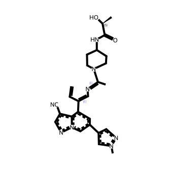 C=C/C(=C\N=C(/C)N1CCC(NC(=O)[C@H](C)O)CC1)c1cc(-c2cnn(C)c2)cn2ncc(C#N)c12